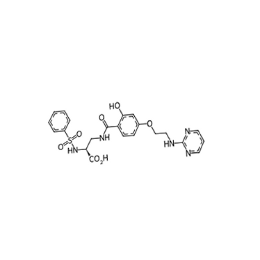 O=C(NC[C@H](NS(=O)(=O)c1ccccc1)C(=O)O)c1ccc(OCCNc2ncccn2)cc1O